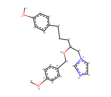 COc1ccc(CCCC(Cn2ccnc2)OCc2ccc(OC)cc2)cc1